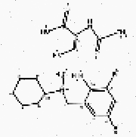 CC(=O)N[C@@H](CS)C(=O)O.CN(Cc1cc(Br)cc(Br)c1N)C1CCCCC1